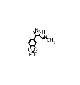 C/N=C/c1[nH]nnc1-c1ccc2c(c1)OC(F)(F)O2